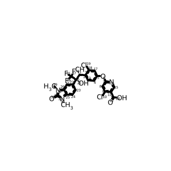 C[C@H](c1ccc(Oc2cc(Cl)c(C(=O)O)cn2)cc1Cl)[C@@](O)(c1ccc2c(c1)n(C)c(=O)n2C)C(F)(F)F